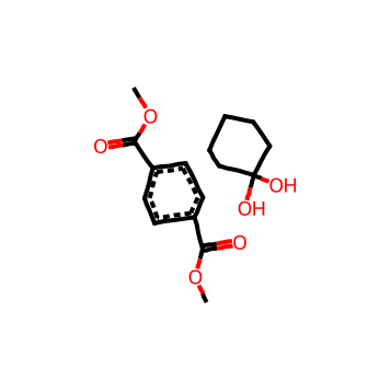 COC(=O)c1ccc(C(=O)OC)cc1.OC1(O)CCCCC1